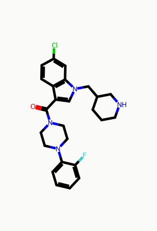 O=C(c1cn(CC2CCCNC2)c2cc(Cl)ccc12)N1CCN(c2ccccc2F)CC1